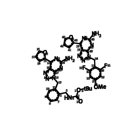 CC(C)(C)OC(=O)NCc1ccccc1Cn1nnc2c(-c3ccco3)nc(N)nc21.COc1cc(F)c(Cn2nnc3c(-c4ccco4)nc(N)nc32)c(F)c1